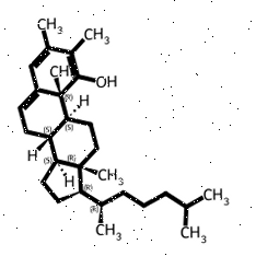 CC1=CC2=CC[C@@H]3[C@H](CC[C@]4(C)[C@@H]([C@H](C)CCCC(C)C)CC[C@@H]34)[C@@]2(C)C(O)=C1C